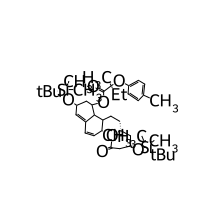 CC[C@](C)(Oc1ccc(C)cc1)C(=O)OC1CC(O[Si](C)(C)C(C)(C)C)C=C2C=CC(C)C(CC[C@@H]3C[C@@H](O[Si](C)(C)C(C)(C)C)CC(=O)O3)C21